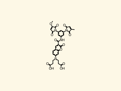 COC1=CC(=O)N(c2cc(NC(=O)c3cc4ccc(N(CCC(=O)O)CCC(=O)O)cc4oc3=O)cc(N3C(=O)C=C(C)C3=O)c2)C1=O